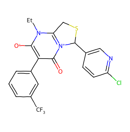 CCn1c([O-])c(-c2cccc(C(F)(F)F)c2)c(=O)[n+]2c1CSC2c1ccc(Cl)nc1